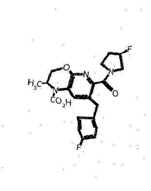 C[C@H]1COc2nc(C(=O)N3CC[C@@H](F)C3)c(Cc3ccc(F)cc3)cc2N1C(=O)O